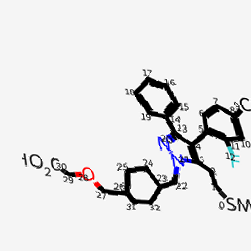 CSCCc1c(-c2ccc(C)cc2F)c(-c2ccccc2)nn1CC1CCC(COCC(=O)O)CC1